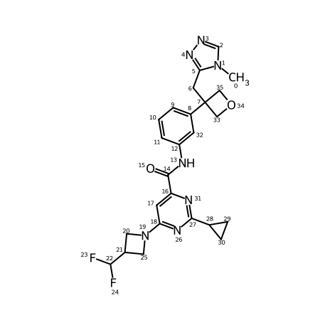 Cn1cnnc1CC1(c2cccc(NC(=O)c3cc(N4CC(C(F)F)C4)nc(C4CC4)n3)c2)COC1